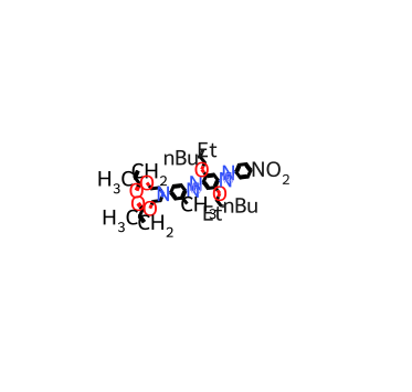 C=C(C)C(=O)OCCN(CCOC(=O)C(=C)C)c1ccc(/N=N/c2cc(OCC(CC)CCCC)c(/N=N/c3ccc([N+](=O)[O-])cc3)cc2OCC(CC)CCCC)c(C)c1